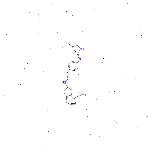 COc1cccc2sc(NCCc3ccc(/N=C4/NCC(C)S4)cc3)nc12